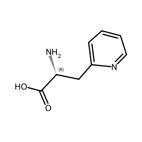 N[C@H](Cc1ccccn1)C(=O)O